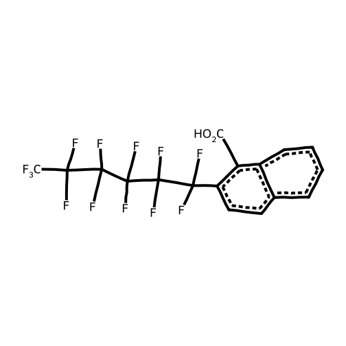 O=C(O)c1c(C(F)(F)C(F)(F)C(F)(F)C(F)(F)C(F)(F)C(F)(F)F)ccc2ccccc12